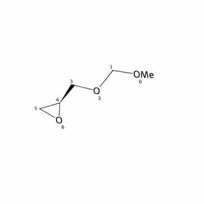 COCOC[C@@H]1CO1